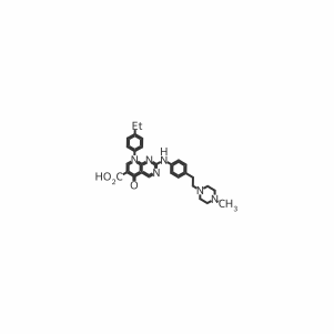 CCc1ccc(-n2cc(C(=O)O)c(=O)c3cnc(Nc4ccc(CCN5CCN(C)CC5)cc4)nc32)cc1